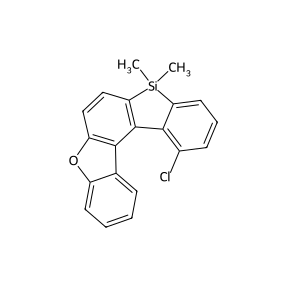 C[Si]1(C)c2cccc(Cl)c2-c2c1ccc1oc3ccccc3c21